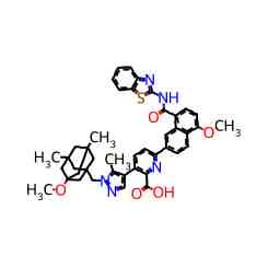 COc1ccc(C(=O)Nc2nc3ccccc3s2)c2cc(-c3ccc(-c4cnn(CC56CC7(C)CC(C)(C5)CC(OC)(C7)C6)c4C)c(C(=O)O)n3)ccc12